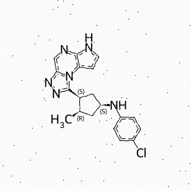 C[C@@H]1C[C@H](Nc2ccc(Cl)cc2)C[C@@H]1c1nnc2cnc3[nH]ccc3n12